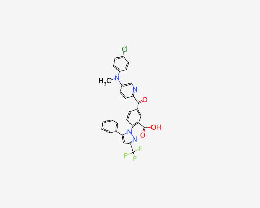 CN(c1ccc(Cl)cc1)c1ccc(C(=O)c2ccc(-n3nc(C(F)(F)F)cc3-c3ccccc3)c(C(=O)O)c2)nc1